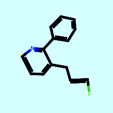 FC=CCc1cccnc1-c1ccccc1